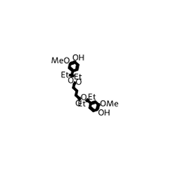 CCC(CC)(OC(=O)CCCC(=O)OC(CC)(CC)c1ccc(O)c(OC)c1)c1ccc(O)c(OC)c1